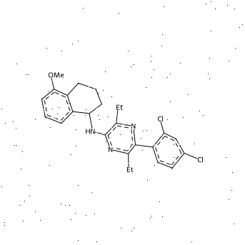 CCc1nc(-c2ccc(Cl)cc2Cl)c(CC)nc1NC1CCCc2c(OC)cccc21